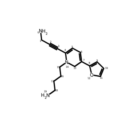 NCC#CC1=CC=C(c2ccco2)CN1CCCCN